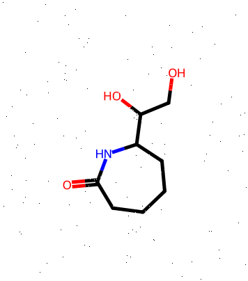 O=C1CCCCC(C(O)CO)N1